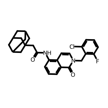 O=C(CC12CC3CC(CC(C3)C1)C2)Nc1cccc2c(=O)n(Cc3c(F)cccc3Cl)ccc12